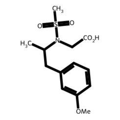 COc1cccc(CC(C)N(CC(=O)O)S(C)(=O)=O)c1